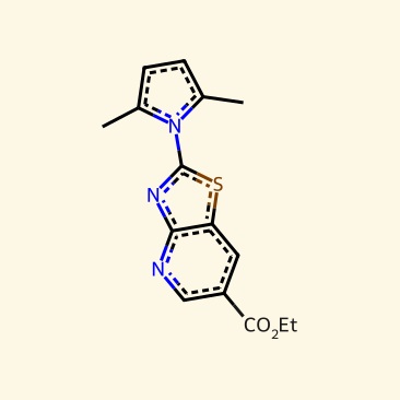 CCOC(=O)c1cnc2nc(-n3c(C)ccc3C)sc2c1